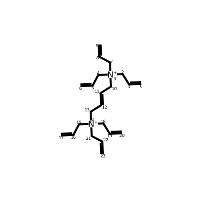 C=CC[N+](CC=C)(CC=C)CC=CC[N+](CC=C)(CC=C)CC=C